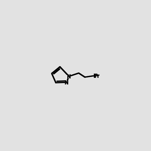 CC(C)CCn1cccn1